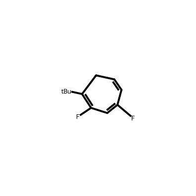 CC(C)(C)C1=C(F)C=C(F)C=CC1